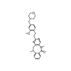 COc1cc(CC2CCOCC2)ccc1CCc1ncc2c(n1)CC(C)c1ccccc1C(=O)N2C